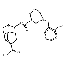 N#Cc1ccccc1CN1CCOC(C(=O)NC2C3CC4CC2CC(C(N)=O)(C4)C3)C1